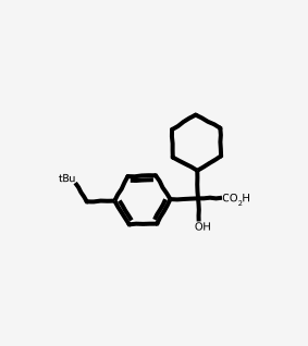 CC(C)(C)Cc1ccc(C(O)(C(=O)O)C2CCCCC2)cc1